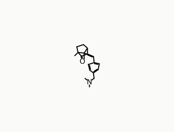 CN(C)Cc1ccc(/C=C2\C(=O)C3(C)CCC2C3(C)C)cc1